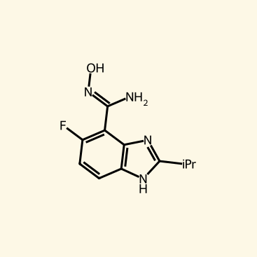 CC(C)c1nc2c(/C(N)=N/O)c(F)ccc2[nH]1